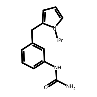 CC(C)n1cccc1Cc1cccc(NC(N)=O)c1